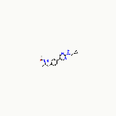 CC(=O)NC(C)Cc1ccc(-c2cnc(NCC3CC3)nc2)cc1